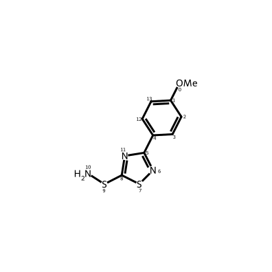 COc1ccc(-c2nsc(SN)n2)cc1